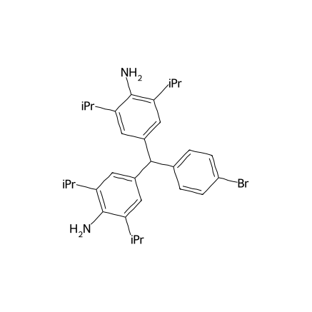 CC(C)c1cc(C(c2ccc(Br)cc2)c2cc(C(C)C)c(N)c(C(C)C)c2)cc(C(C)C)c1N